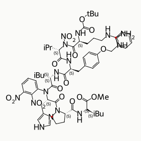 CC[C@H](C)[C@H](NC(=O)[C@@H]1CCCN1C(=O)[C@H](Cc1c[nH]cn1)N(C(=O)[C@@H](NC(=O)[C@H](Cc1ccc(OCc2ccccc2)cc1)NC(=O)[C@H](C(C)C)N(C(=O)[C@H](CCCNC(=N)N)NC(=O)OC(C)(C)C)[N+](=O)[O-])[C@@H](C)CC)c1cccc([N+](=O)[O-])c1[N+](=O)[O-])C(=O)OC